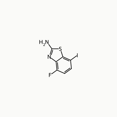 Nc1nc2c(F)ccc(I)c2s1